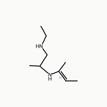 C/C=C(\C)NC(C)CNCC